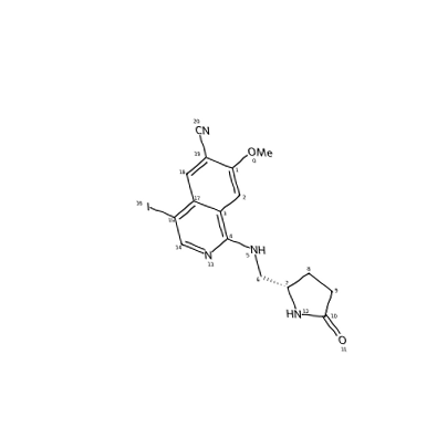 COc1cc2c(NC[C@@H]3CCC(=O)N3)ncc(I)c2cc1C#N